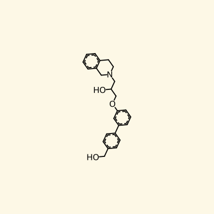 OCc1ccc(-c2cccc(OCC(O)CN3CCc4ccccc4C3)c2)cc1